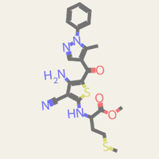 COC(=O)C(CCSC)Nc1sc(C(=O)c2cnn(-c3ccccc3)c2C)c(N)c1C#N